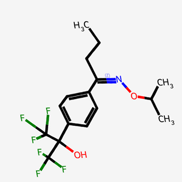 CCC/C(=N/OC(C)C)c1ccc(C(O)(C(F)(F)F)C(F)(F)F)cc1